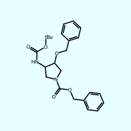 CC(C)(C)OC(=O)NC1CN(C(=O)OCc2ccccc2)CC1OCc1ccccc1